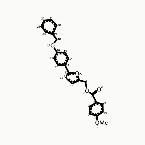 COc1ccc(C(=O)OCc2cnc(-c3ccc(OCc4ccccc4)cc3)o2)cc1